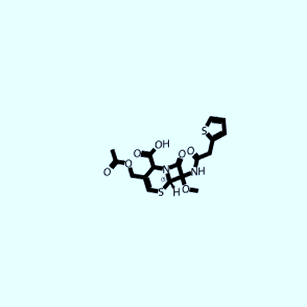 COC1(NC(=O)Cc2cccs2)C(=O)N2C(C(=O)O)C(COC(C)=O)=CS[C@H]21